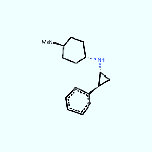 CN[C@H]1CC[C@H](N[C@@H]2C[C@H]2c2ccccc2)CC1